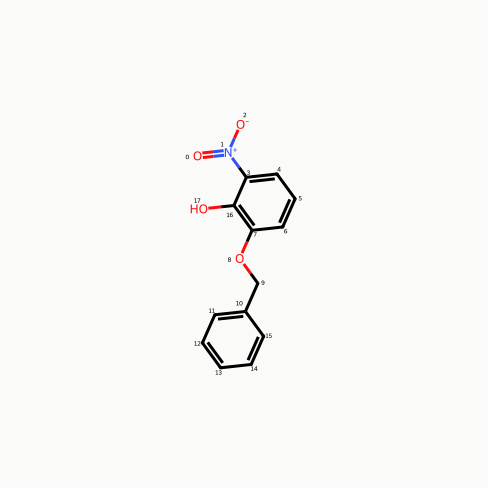 O=[N+]([O-])c1cccc(OCc2ccccc2)c1O